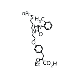 CCCSCCCN(CCOc1ccc(CC(OCC)C(=O)O)cc1)C(=O)Nc1ccccc1C